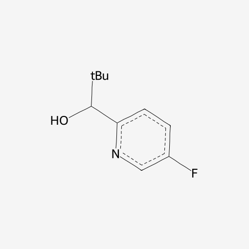 CC(C)(C)C(O)c1ccc(F)cn1